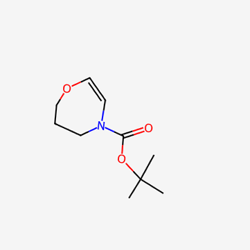 CC(C)(C)OC(=O)N1C=COCCC1